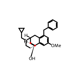 COc1cc(Cc2ccccc2)c2c(c1)[C@]13CCN(CC4CC4)[C@H](C2)[C@@H]1CC[C@H](O)C3